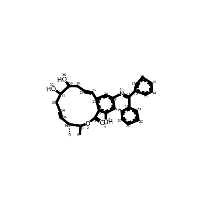 CC1OC(=O)c2c(O)cc(N=C(c3ccccc3)c3ccccc3)cc2/C=C/CC(O)C(O)C/C=C\[C@H]1C